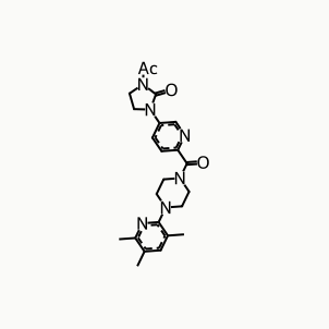 CC(=O)N1CCN(c2ccc(C(=O)N3CCN(c4nc(C)c(C)cc4C)CC3)nc2)C1=O